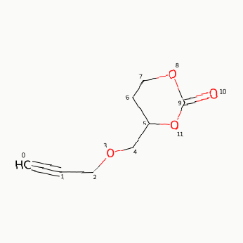 C#CCOCC1CCOC(=O)O1